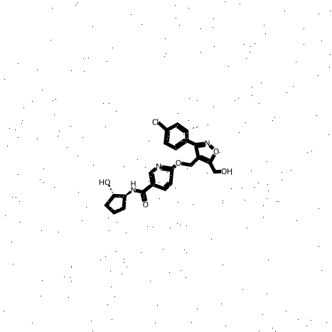 O=C(N[C@H]1CCC[C@@H]1O)c1ccc(OCc2c(-c3ccc(Cl)cc3)noc2CO)nc1